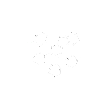 Clc1cccc(-c2c3c(c(-c4ccccc4)c(-c4ccccc4)c2-c2ccccc2)-c2ccccc2C3)c1